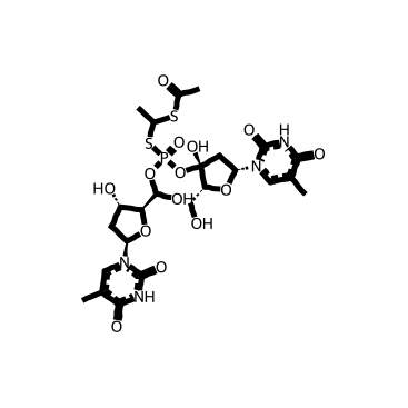 CC(=O)SC(C)SP(=O)(OC(O)[C@H]1O[C@@H](n2cc(C)c(=O)[nH]c2=O)C[C@@H]1O)O[C@]1(O)C[C@H](n2cc(C)c(=O)[nH]c2=O)O[C@@H]1CO